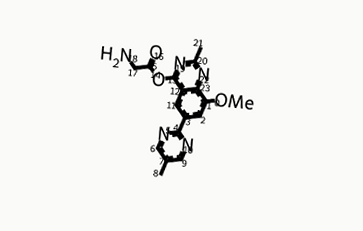 COc1cc(-c2ncc(C)cn2)cc2c(OC(=O)CN)nc(C)nc12